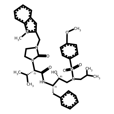 COc1ccc(S(=O)(=O)N(CC(C)C)C[C@@H](O)[C@H](Cc2ccccc2)NC(=O)[C@H](C(C)C)N2CCN(Cc3cc4ccccc4n3C)C2=O)cc1